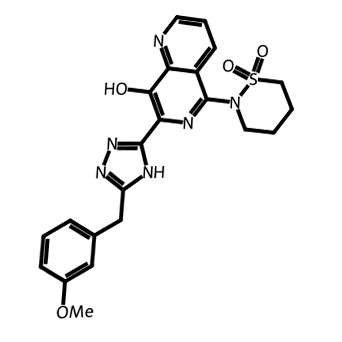 COc1cccc(Cc2nnc(-c3nc(N4CCCCS4(=O)=O)c4cccnc4c3O)[nH]2)c1